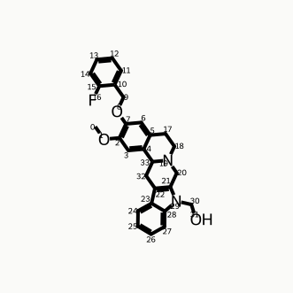 COc1cc2c(cc1OCc1ccccc1F)CCN1Cc3c(c4ccccc4n3CO)CC21